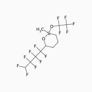 C[Si]1(OC(F)(F)C(F)(F)F)CCCC(C(F)(F)C(F)(F)C(F)(F)C(F)F)O1